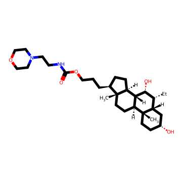 CC[C@H]1[C@@H](O)[C@@H]2[C@H](CC[C@]3(C)[C@@H](CCCOC(=O)NCCN4CCOCC4)CC[C@@H]23)[C@@]2(C)CC[C@@H](O)C[C@@H]12